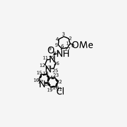 COC1CCCCC(NC(=O)N2CCN(c3ccnc4cc(Cl)ccc34)CC2)C1